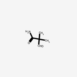 CC(C)(C=O)C(N)=O